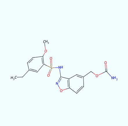 CCc1ccc(OC)c(S(=O)(=O)Nc2noc3ccc(COC(N)=O)cc23)c1